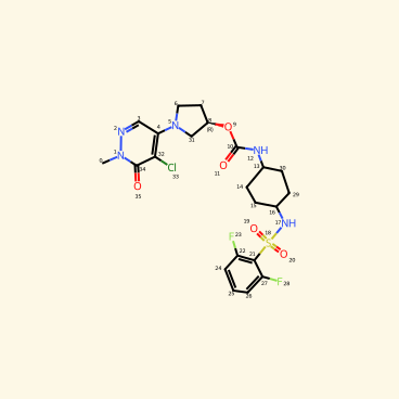 Cn1ncc(N2CC[C@@H](OC(=O)NC3CCC(NS(=O)(=O)c4c(F)cccc4F)CC3)C2)c(Cl)c1=O